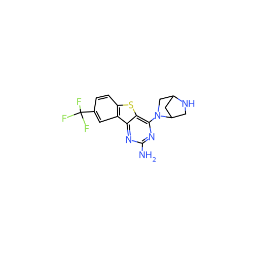 Nc1nc(N2CC3CC2CN3)c2sc3ccc(C(F)(F)F)cc3c2n1